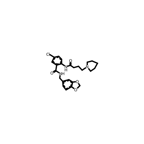 O=C(CCCN1CCCCC1)Nc1ccc(Cl)cc1C(=O)NCc1ccc2c(c1)OCO2